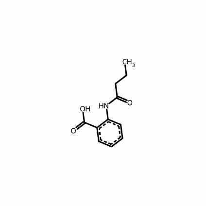 CCCC(=O)Nc1ccccc1C(=O)O